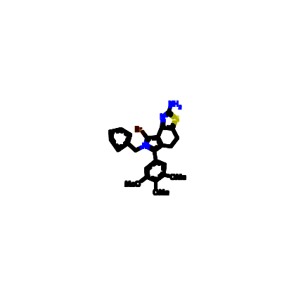 COc1cc(-c2c3c(c(Br)n2Cc2ccccc2)-c2nc(N)sc2CC3)cc(OC)c1OC